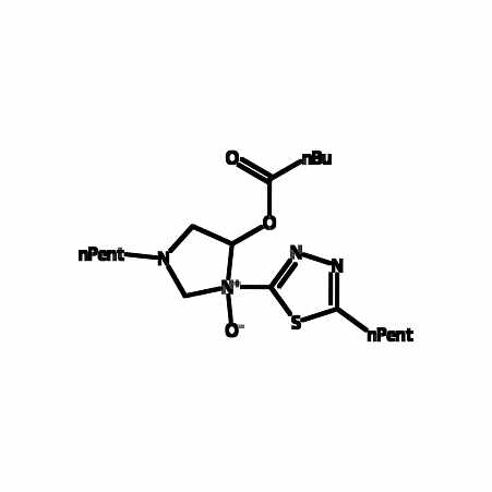 CCCCCc1nnc([N+]2([O-])CN(CCCCC)CC2OC(=O)CCCC)s1